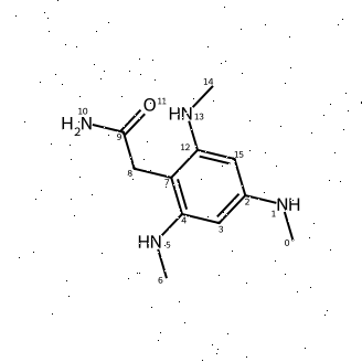 CNc1cc(NC)c(CC(N)=O)c(NC)c1